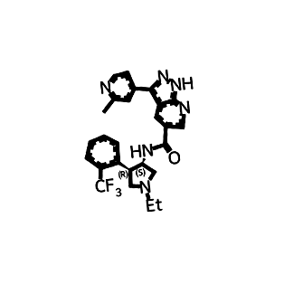 CCN1C[C@@H](NC(=O)c2cnc3[nH]nc(-c4ccnc(C)c4)c3c2)[C@H](c2ccccc2C(F)(F)F)C1